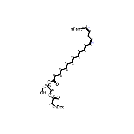 CCCCC/C=C\C/C=C\CCCCCCCCCCCC(=O)O[C@@H](CO)COC(=O)CCCCCCCCCCC